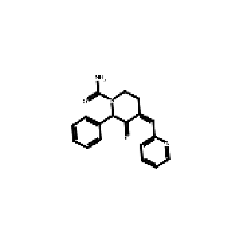 NC(=O)N1CCC(=Cc2ccccn2)C(=O)C1c1ccccc1